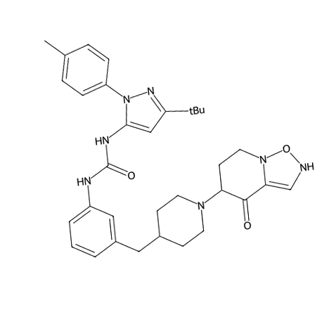 Cc1ccc(-n2nc(C(C)(C)C)cc2NC(=O)Nc2cccc(CC3CCN(C4CCN5ONC=C5C4=O)CC3)c2)cc1